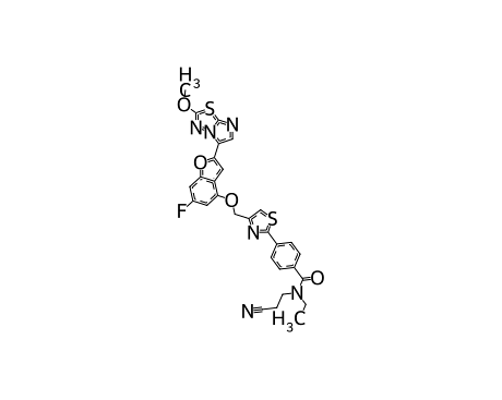 CCN(CCC#N)C(=O)c1ccc(-c2nc(COc3cc(F)cc4oc(-c5cnc6sc(OC)nn56)cc34)cs2)cc1